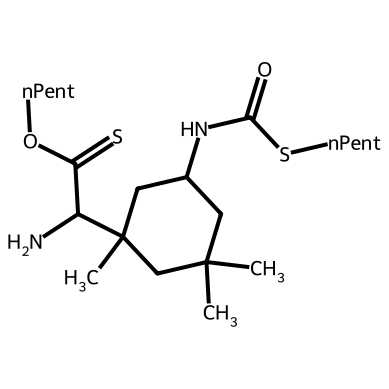 CCCCCOC(=S)C(N)C1(C)CC(NC(=O)SCCCCC)CC(C)(C)C1